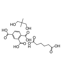 CC(C)(CO)CO.O=C(O)CCCCC(=O)O.O=C(O)c1ccc(C(=O)O)c(C(=O)O)c1